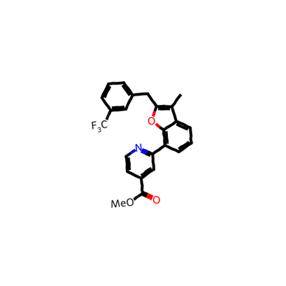 COC(=O)c1ccnc(-c2cccc3c(C)c(Cc4cccc(C(F)(F)F)c4)oc23)c1